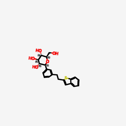 OC[C@H]1O[C@@H](c2cccc(CCc3cc4ccccc4s3)c2)[C@H](O)[C@@H](O)[C@@H]1O